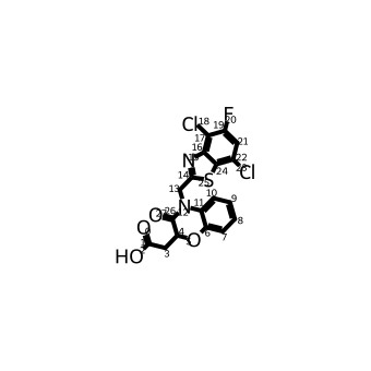 O=C(O)CC1Oc2ccccc2N(Cc2nc3c(Cl)c(F)cc(Cl)c3s2)C1=O